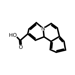 O=C(O)C1=CC2c3ccccc3C=CN2C=C1